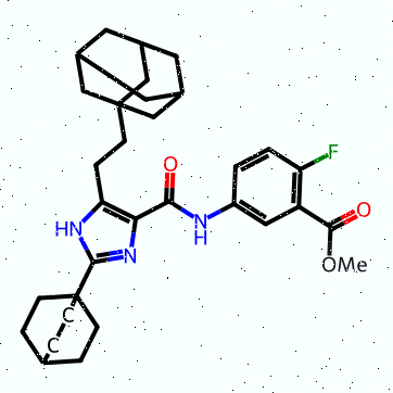 COC(=O)c1cc(NC(=O)c2nc(C34CCC(CC3)CC4)[nH]c2CCC23CC4CC(CC(C4)C2)C3)ccc1F